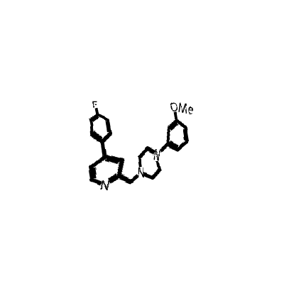 COc1cccc(N2CCN(Cc3cc(-c4ccc(F)cc4)ccn3)CC2)c1